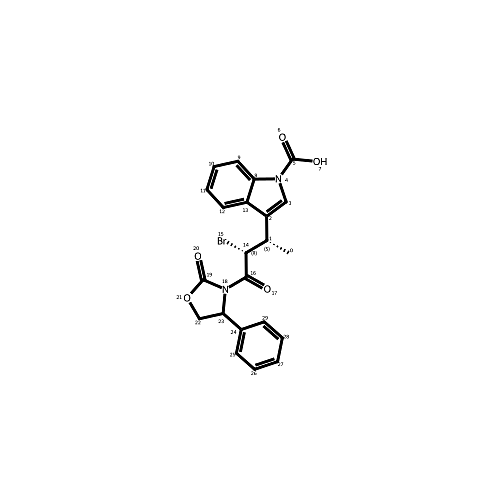 C[C@@H](c1cn(C(=O)O)c2ccccc12)[C@@H](Br)C(=O)N1C(=O)OCC1c1ccccc1